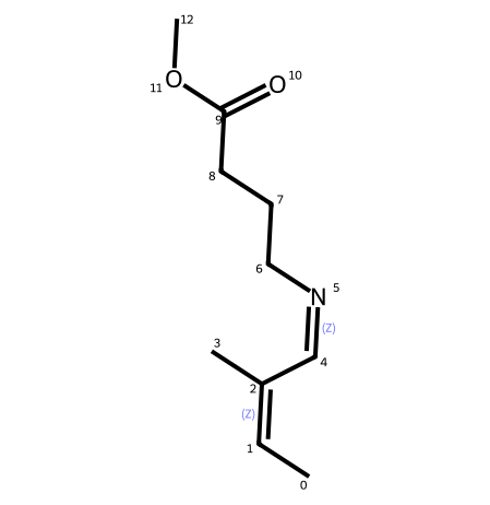 C/C=C(C)\C=N/CCCC(=O)OC